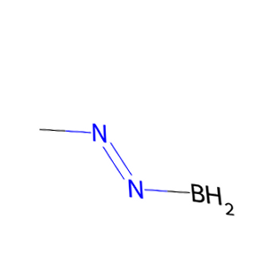 BN=NC